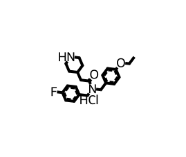 CCOc1ccc(CN(Cc2ccc(F)cc2)C(=O)CC2CCNCC2)cc1.Cl